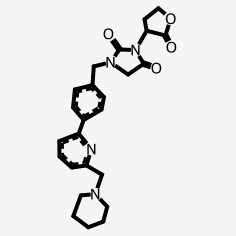 O=C1OCCC1N1C(=O)CN(Cc2ccc(-c3cccc(CN4CCCCC4)n3)cc2)C1=O